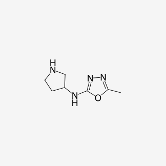 Cc1nnc(NC2CCNC2)o1